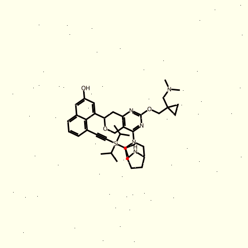 CC(C)[Si](C#Cc1cccc2cc(O)cc(C3Cc4nc(OCC5(CN(C)C)CC5)nc(N5CC6CCC(C5)N6)c4CO3)c12)(C(C)C)C(C)C